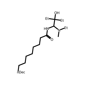 CCCCCCCCCCCCCCCCCC(=O)NC(N(C)CC)C(O)(CC)CC